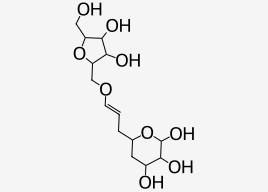 OCC1OC(COC=CCC2CC(O)C(O)C(O)O2)C(O)C1O